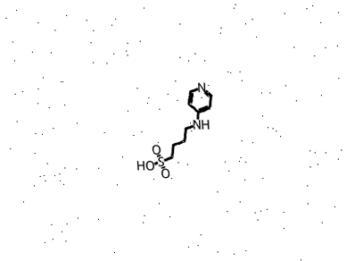 O=S(=O)(O)CCCCNc1ccncc1